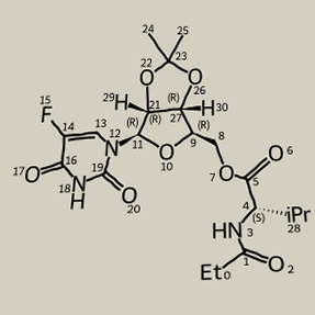 CCC(=O)N[C@H](C(=O)OC[C@H]1O[C@@H](n2cc(F)c(=O)[nH]c2=O)[C@@H]2OC(C)(C)O[C@@H]21)C(C)C